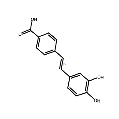 O=C(O)c1ccc(/C=C/c2ccc(O)c(O)c2)cc1